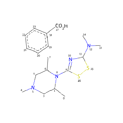 CC1CN(C)CC(C)N1C1=NC(N(C)C)SS1.O=C(O)c1ccccc1